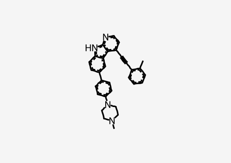 Cc1ccccc1C#Cc1ccnc2[nH]c3ccc(-c4ccc(N5CCN(C)CC5)cc4)cc3c12